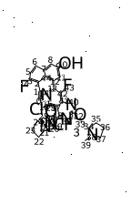 C#Cc1c(F)ccc2cc(O)cc(-c3nc(Cl)c4c(N5CC6CCC(C5)N6C(=O)C(F)(F)F)nc(OC[C@@H]5CCCN5C)nc4c3F)c12